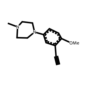 C#Cc1cc(N2CCN(C)CC2)ccc1OC